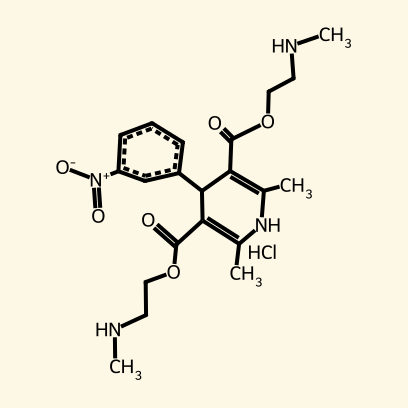 CNCCOC(=O)C1=C(C)NC(C)=C(C(=O)OCCNC)C1c1cccc([N+](=O)[O-])c1.Cl